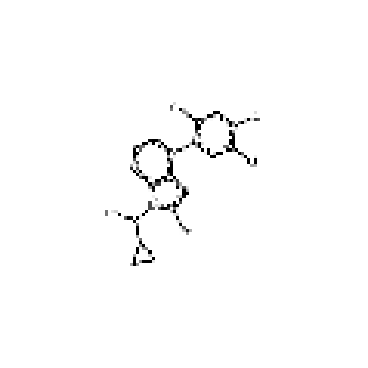 CCc1nc2c(-c3cc(Cl)c(Cl)cc3Cl)cccc2n1C(CC)C1CC1